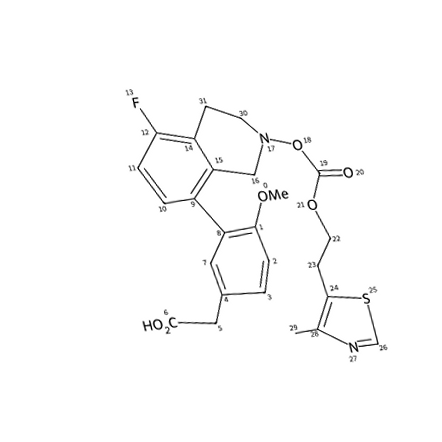 COc1ccc(CC(=O)O)cc1-c1ccc(F)c2c1CN(OC(=O)OCCc1scnc1C)CC2